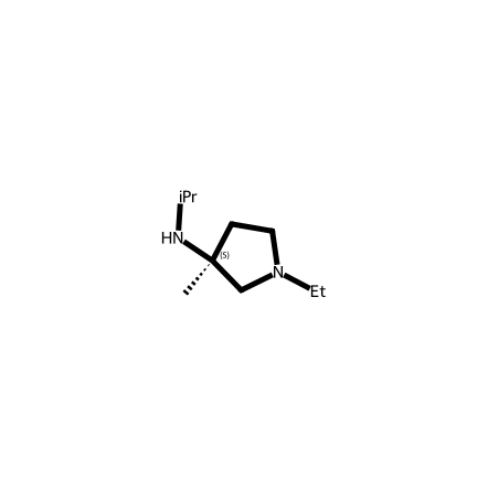 CCN1CC[C@](C)(NC(C)C)C1